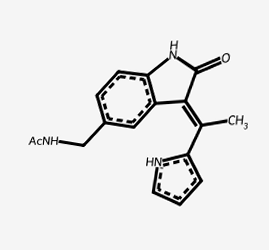 CC(=O)NCc1ccc2c(c1)C(=C(C)c1ccc[nH]1)C(=O)N2